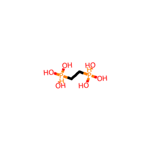 O[PH](O)(O)CC[PH](O)(O)O